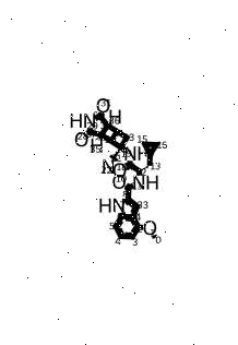 COc1cccc2[nH]c(C(=O)N[C@@H](CC3CC3)C(=O)N[C@@]3(C#N)CC4C3[C@H]3C(=O)NC(=O)[C@@H]43)cc12